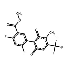 COC(=O)c1cc(-n2c(=O)cc(C(F)(F)F)n(C)c2=O)c(F)cc1F